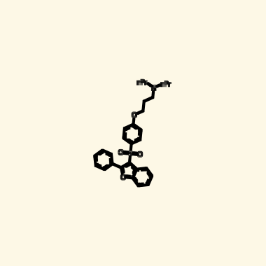 CCCN(CCC)CCCOc1ccc(S(=O)(=O)c2c(-c3ccccc3)oc3ccccc23)cc1